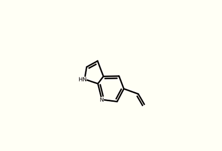 C=Cc1cnc2[nH]ccc2c1